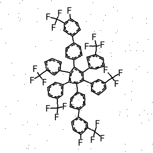 Fc1ccc(-c2ccc(-c3c(-c4cccc(C(F)(F)F)c4)c(-c4cccc(C(F)(F)F)c4)c(-c4ccc(-c5ccc(F)c(C(F)(F)F)c5)cc4)c(-c4cccc(C(F)(F)F)c4)c3-c3cccc(C(F)(F)F)c3)cc2)cc1C(F)(F)F